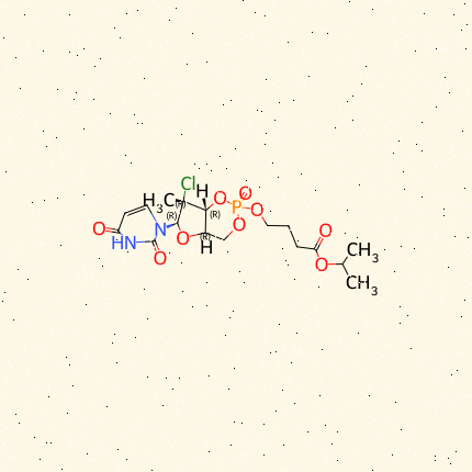 CC(C)OC(=O)CCCOP1(=O)OC[C@H]2O[C@@H](n3ccc(=O)[nH]c3=O)[C@](C)(Cl)[C@@H]2O1